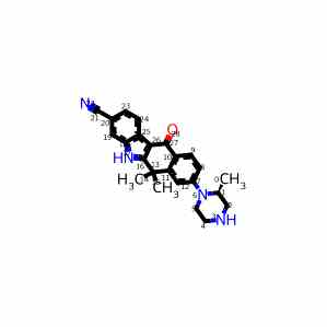 C[C@H]1CNCCN1c1ccc2c(c1)C(C)(C)c1[nH]c3cc(C#N)ccc3c1C2=O